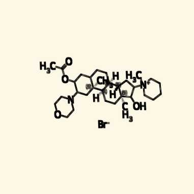 CC(=O)OC1CC2CC[C@@H]3[C@@H](CC[C@]4(C)C(O)C([N+]5(C)CCCCC5)C[C@@H]34)[C@@]2(C)CC1N1CCOCC1.[Br-]